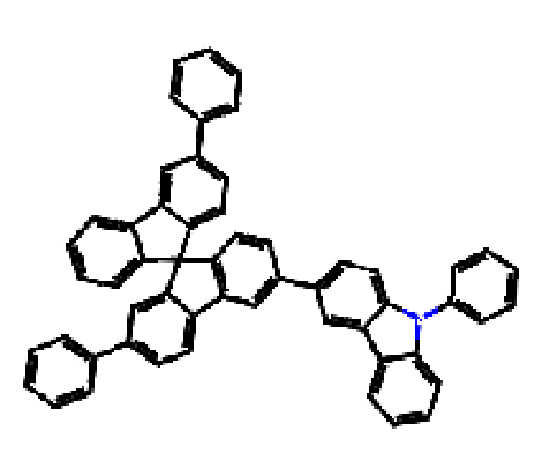 c1ccc(-c2ccc3c(c2)-c2ccccc2C32c3ccc(-c4ccc5c(c4)c4ccccc4n5-c4ccccc4)cc3-c3ccc(-c4ccccc4)cc32)cc1